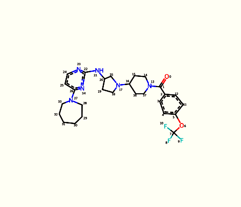 O=C(c1ccc(OC(F)(F)F)cc1)N1CCC(N2CCC(Nc3nccc(N4CCCCCC4)n3)C2)CC1